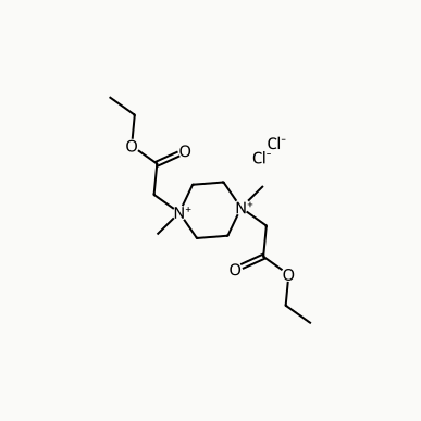 CCOC(=O)C[N+]1(C)CC[N+](C)(CC(=O)OCC)CC1.[Cl-].[Cl-]